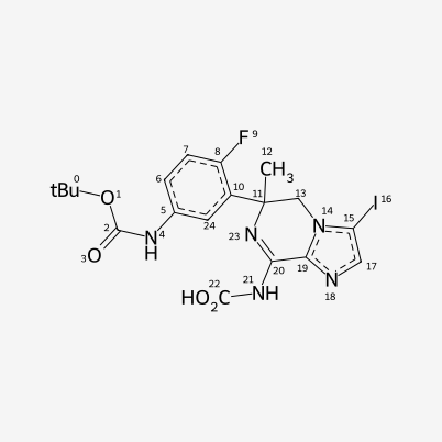 CC(C)(C)OC(=O)Nc1ccc(F)c(C2(C)Cn3c(I)cnc3C(NC(=O)O)=N2)c1